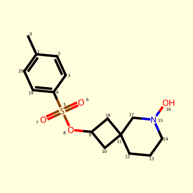 Cc1ccc(S(=O)(=O)OC2CC3(CCCN(O)C3)C2)cc1